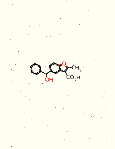 Cc1oc2ccc(C(O)c3ccccc3)cc2c1C(=O)O